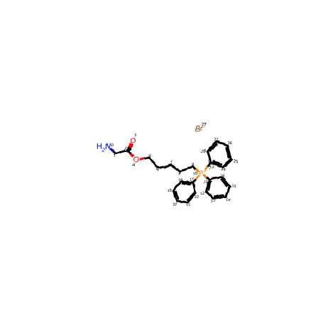 NCC(=O)OCCCCC[P+](c1ccccc1)(c1ccccc1)c1ccccc1.[Br-]